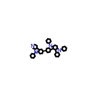 c1ccc(-n2c3ccc(-c4ccc5c6c7c8ccccc8n(-c8ccccc8)c7ccc6n(-c6ccccc6)c5c4)cc3c3ccncc32)cc1